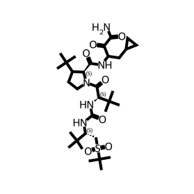 CC(C)(C)C1CCN(C(=O)[C@@H](NC(=O)N[C@H](CS(=O)(=O)C(C)(C)C)C(C)(C)C)C(C)(C)C)[C@@H]1C(=O)NC(CC1CC1)C(=O)C(N)=O